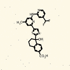 Cc1cc(Nc2cc(C(F)F)ccn2)nc(-c2cnc(C3(O)CCCc4cc(C(=O)O)ccc43)s2)c1